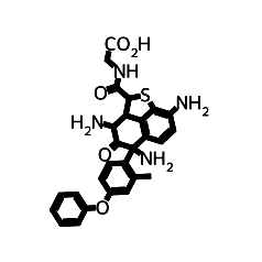 Cc1cc(Oc2ccccc2)ccc1C1(N)C(=O)C(N)C2c3c1ccc(N)c3SC2C(=O)NCC(=O)O